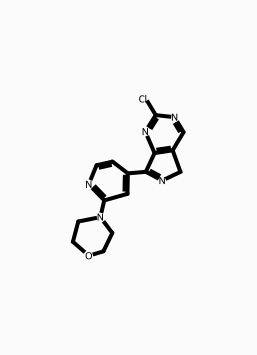 Clc1ncc2c(n1)C(c1ccnc(N3CCOCC3)c1)=NC2